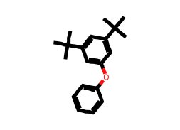 CC(C)(C)c1[c]c(C(C)(C)C)cc(Oc2ccccc2)c1